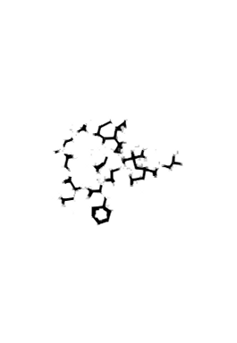 COC1C(OC(=O)N(C)CCN(C)C(=O)CNC(=O)[C@H](CC(C)C)NC(=O)[C@H](Cc2ccccc2)NC(=O)CNC(=O)C(C)(CC(C)(CC(C)C)C(=O)NCC(C)O)C(C)C)CC[C@]2(CO2)C1C1(C)O[C@@H]1CC=C(C)C